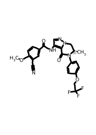 COc1ccc(C(=O)Nc2cnn3c2C(=O)N(c2ccc(OCC(F)(F)F)cc2)[C@@H](C)C3)cc1C#N